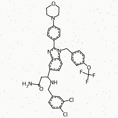 NC(=O)CC(NCc1ccc(Cl)c(Cl)c1)c1ccc2c(c1)nc(-c1ccc(N3CCOCC3)cc1)n2Cc1ccc(OC(F)(F)F)cc1